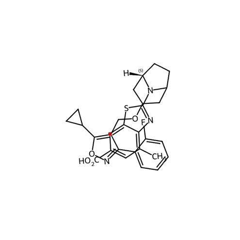 Cc1cc(C(=O)O)cc2sc(N3C4CC[C@H]3CC(OCc3c(-c5ccccc5F)noc3C3CC3)C4)nc12